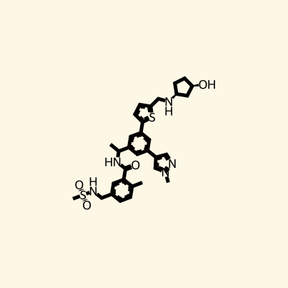 Cc1ccc(CNS(C)(=O)=O)cc1C(=O)NC(C)c1cc(-c2cnn(C)c2)cc(-c2ccc(CN[C@H]3CC[C@@H](O)C3)s2)c1